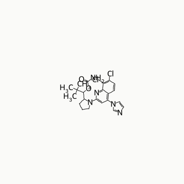 CC(C)(C)C(OC(N)=O)C1CCCN1c1cc(-n2ccnc2)c2ccc(Cl)c(Cl)c2n1